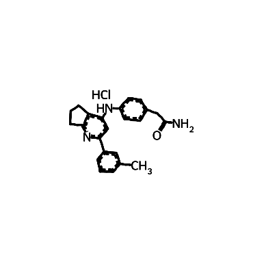 Cc1cccc(-c2cc(Nc3ccc(CC(N)=O)cc3)c3c(n2)CCC3)c1.Cl